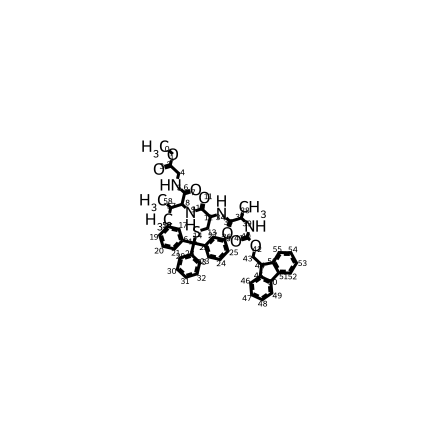 COC(=O)CNC(=O)C(NC(=O)C(CSC(c1ccccc1)(c1ccccc1)c1ccccc1)NC(=O)C(C)NC(=O)OCC1c2ccccc2-c2ccccc21)C(C)C